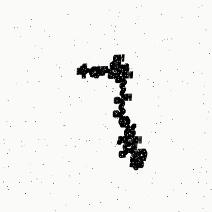 Cc1cc(Nc2ncc(Cl)c(Nc3ccccc3S(=O)(=O)C(C)C)n2)c(OC(C)C)cc1C1CCN(C(=O)CCCC(=O)NCCCCC(=O)NC(C(=O)N2C[C@H](O)C[C@H]2C(=O)NCc2ccc(-c3scnc3C)cc2)C(C)(C)C)CC1